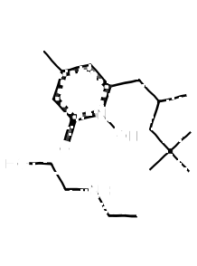 CCNCCO.Cc1cc(CC(C)CC(C)(C)C)n(O)c(=O)c1